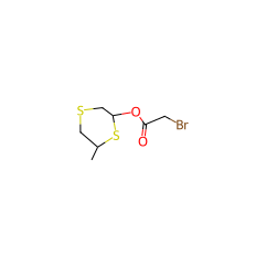 CC1CSCC(OC(=O)CBr)S1